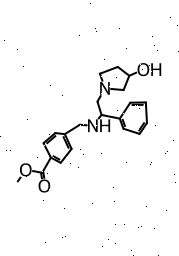 COC(=O)c1ccc(CNC(CN2CCC(O)C2)c2ccccc2)cc1